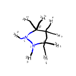 [2H]N1N([2H])C([2H])([2H])C([2H])([2H])C1([2H])[2H]